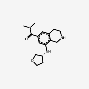 CN(C)C(=O)c1cc2c(c(N[C@@H]3CCOC3)c1)CNCC2